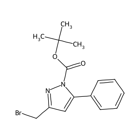 CC(C)(C)OC(=O)n1nc(CBr)cc1-c1ccccc1